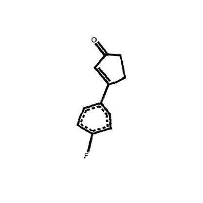 O=C1C=C(c2ccc(F)cc2)CC1